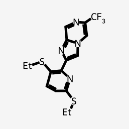 CCSc1ccc(SCC)c(-c2cn3cc(C(F)(F)F)ncc3n2)n1